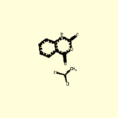 CC(Cl)Cl.O=c1[nH]c2ccccc2c(=O)o1